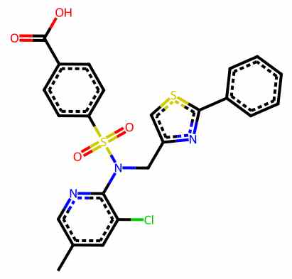 Cc1cnc(N(Cc2csc(-c3ccccc3)n2)S(=O)(=O)c2ccc(C(=O)O)cc2)c(Cl)c1